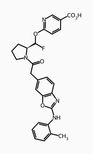 Cc1ccccc1Nc1nc2ccc(CC(=O)N3CCC[C@H]3C(F)Oc3ccc(C(=O)O)cn3)cc2o1